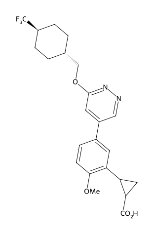 COc1ccc(-c2cnnc(OC[C@H]3CC[C@H](C(F)(F)F)CC3)c2)cc1C1CC1C(=O)O